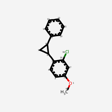 COc1ccc(C2CC2c2ccccc2)c(Cl)c1